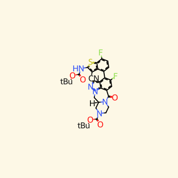 CC(C)(C)OC(=O)Nc1sc2c(F)ccc(-c3c(F)cc4c5c3cnn5C[C@H]3CN(C(=O)OC(C)(C)C)CCN3C4=O)c2c1C#N